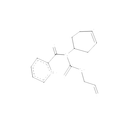 O=[C]CNC(=O)N(C(=O)c1ccccn1)C1CC=CCC1